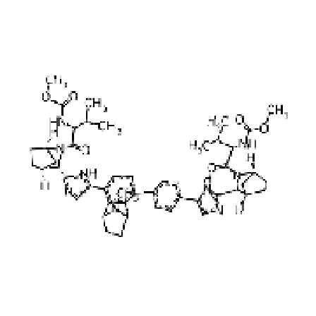 COC(=O)N[C@H](C(=O)N1[C@@H]2CC[C@@H](C2)[C@H]1c1ncc(-c2ccc(-c3ccc(-c4cnc([C@@H]5[C@H]6CC[C@H](C6)N5C(=O)[C@@H](NC(=O)OC)C(C)C)[nH]4)c4c3C3CCC4N3C)cc2)[nH]1)C(C)C